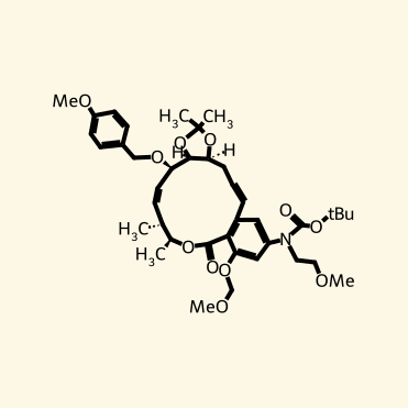 COCCN(C(=O)OC(C)(C)C)c1cc2c(c(OCOC)c1)C(=O)O[C@@H](C)[C@H](C)/C=C\[C@@H](OCc1ccc(OC)cc1)[C@H]1OC(C)(C)O[C@H]1C/C=C/2